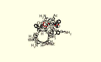 CC(=O)CC[C@H](NC(=O)C1(NC(=O)[C@H](Cc2ccc3ccccc3c2)NC(=O)[C@H](Cc2ccc(OCCN)cc2)NC(=O)[C@H]2NC(=O)[C@H](CCCCNC(C)=O)NC(=O)[C@H](Cc3c[nH]c4c(C)cccc34)NC(=O)[C@H]([C@@H](C)OC(C)(C)C)NC(=O)[C@H](CC(N)=O)NC(=O)[C@@H](NC(C)=O)C(C)(C)SSC2(C)C)CCOCC1)C(=O)N[C@@H](CC(N)=O)C(=O)N[C@@H](Cc1cccnc1)C(=O)N(C)CC(N)=O